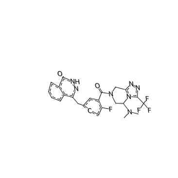 CN(C)C1CN(C(=O)c2cc(Cc3n[nH]c(=O)c4ccccc34)ccc2F)Cc2nnc(C(F)(F)F)n21